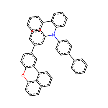 c1ccc(-c2ccc(N(c3cccc(-c4ccc5c(c4)-c4cccc6cccc(c46)O5)c3)c3ccccc3-c3ccccc3)cc2)cc1